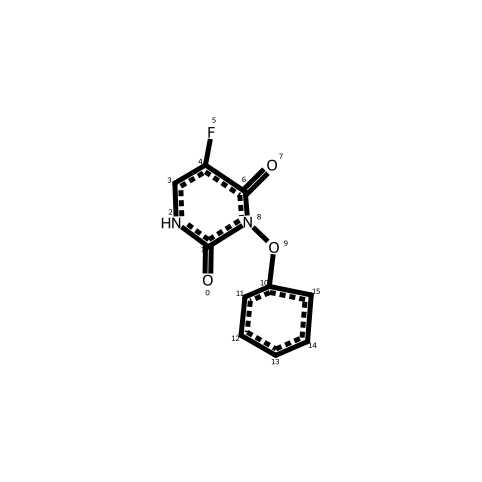 O=c1[nH]cc(F)c(=O)n1Oc1ccccc1